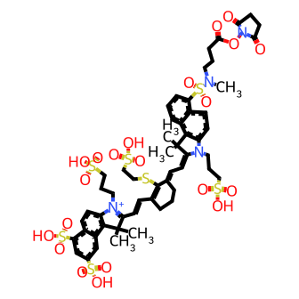 CN(CCCC(=O)ON1C(=O)CCC1=O)S(=O)(=O)c1cccc2c3c(ccc12)N(CCCS(=O)(=O)O)/C(=C/C=C1\CCCC(/C=C/C2=[N+](CCCS(=O)(=O)O)c4ccc5c(S(=O)(=O)O)cc(S(=O)(=O)O)cc5c4C2(C)C)=C1SCCS(=O)(=O)O)C3(C)C